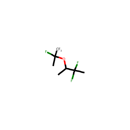 CC(OC(C)(F)C(F)(F)F)C(C)(F)F